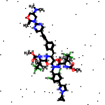 C=C1OCC(N(C)C)CN1c1ncc(C#Cc2ccc(C[C@H](NC(=O)C(NC(=O)OC)C(C)(C)C(F)(F)F)[C@@H](O)CN(Cc3c(F)cc(-c4ccn(C5CC5)n4)cc3F)NC(=O)[C@@H](NC(=O)OC)C(C)(C)C(F)(F)F)cc2)cn1